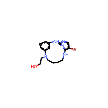 OCCN1CCCCNc2nc(ncc2Br)Nc2cccc1c2